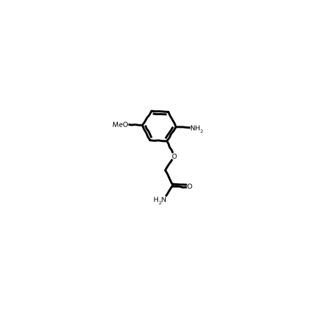 COc1ccc(N)c(OCC(N)=O)c1